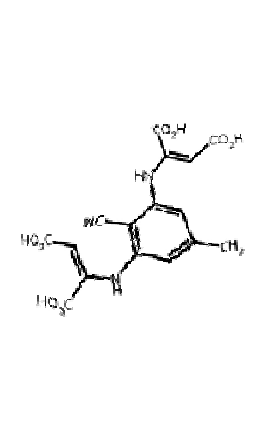 Cc1cc(NC(=CC(=O)O)C(=O)O)c(C#N)c(NC(=CC(=O)O)C(=O)O)c1